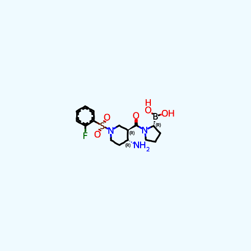 N[C@@H]1CCN(S(=O)(=O)c2ccccc2F)C[C@H]1C(=O)N1CCC[C@H]1B(O)O